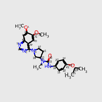 COc1cc2ncnc(N3CCC(N(C)C(=O)Nc4ccc(OC(C)C)cc4)C3)c2cc1OC